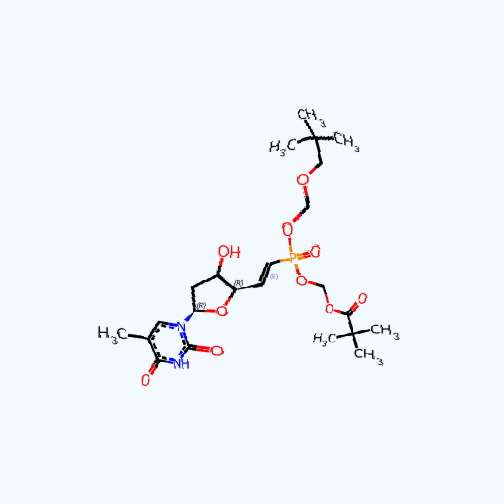 Cc1cn([C@H]2CC(O)[C@@H](/C=C/P(=O)(OCOCC(C)(C)C)OCOC(=O)C(C)(C)C)O2)c(=O)[nH]c1=O